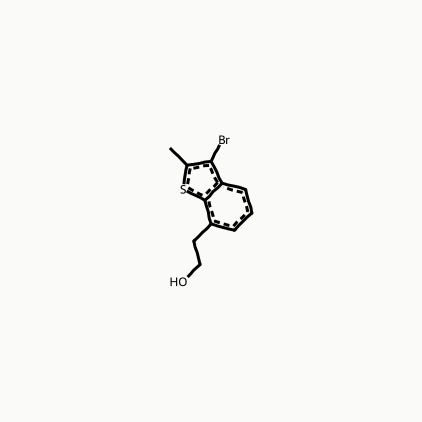 Cc1sc2c(CCO)cccc2c1Br